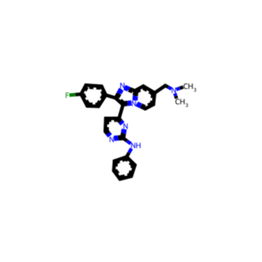 CN(C)Cc1ccn2c(-c3ccnc(Nc4ccccc4)n3)c(-c3ccc(F)cc3)nc2c1